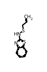 C=CCSNc1nc2ccccc2s1